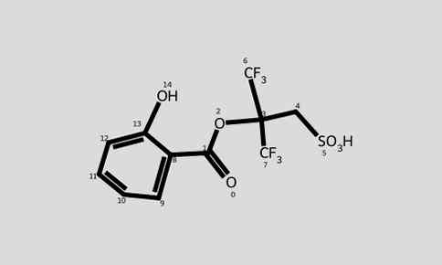 O=C(OC(CS(=O)(=O)O)(C(F)(F)F)C(F)(F)F)c1ccccc1O